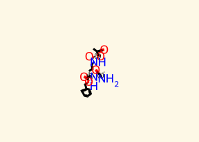 CC1C(=O)O[C@@H]1C(=O)NCCC[C@H](NC(=O)[C@H](C)N)C(=O)OCc1ccccc1